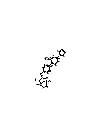 C[C@@]12CC[C@@](C)(C1)[C@H](F)[C@@H](Oc1cnc(-c3ccc(-n4ccnc4)cc3O)nn1)C2